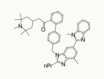 CCCc1nc2c(C)cc(-c3nc4ccccc4n3C)cc2n1Cc1ccc(-c2ccccc2C(=O)CC2CC(C)(C)N(C)C(C)(C)C2)cc1